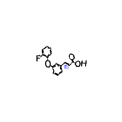 O=C(O)/C=C/c1cccc(Oc2ccccc2F)c1